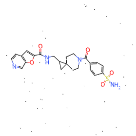 NS(=O)(=O)c1ccc(C(=O)N2CCC3(CC2)CC3CNC(=O)c2cc3ccncc3o2)cc1